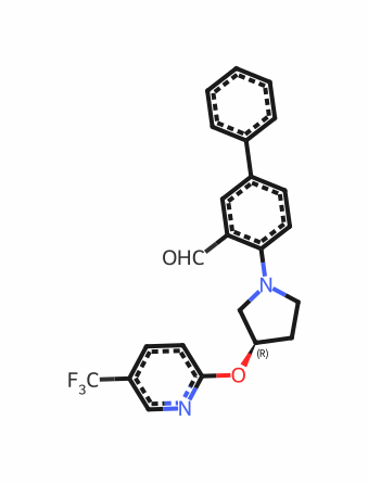 O=Cc1cc(-c2ccccc2)ccc1N1CC[C@@H](Oc2ccc(C(F)(F)F)cn2)C1